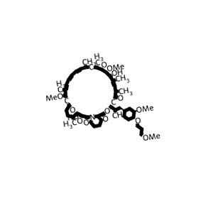 COCCCO[C@@H]1CC[C@@H](CC(C)C2CC(=O)C(C)C=C(C)C(O)C(OC)C(=O)C(C)CC(C)C=CC=CC=C(C)C(OC)CC3CCC(C)C(O)(O3)C(=O)C(=O)N3CCCCC3C(=O)O2)C[C@H]1OC